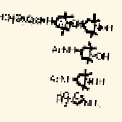 CC(=O)NC1CC(C)(C)N(O)C(C)(C)C1.CC(=O)NC1CC(C)(C)N(O)C(C)(C)C1.CC(=O)NC1CC(C)(C)N(O)C(C)(C)C1.CC(=O)NC1CC(C)(C)N(O)C(C)(C)C1.CC(=O)O.CC(=O)O.CC(=O)O.CC(=O)O.NCCN